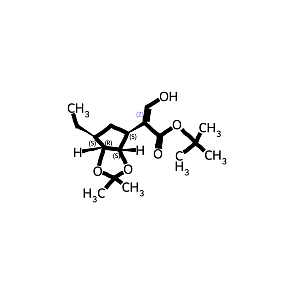 CC[C@H]1C[C@@H](/C(=C/O)C(=O)OC(C)(C)C)[C@@H]2OC(C)(C)O[C@H]12